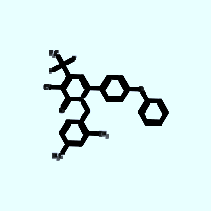 [C-]#[N+]c1c(C(F)(F)C(F)(F)F)cc(-c2ccc(Oc3ccccc3)cc2)n(Cc2ccc(C)cc2C)c1=O